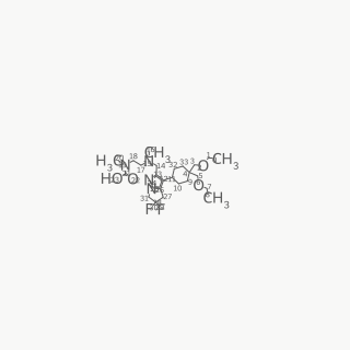 CCOCC1(COCC)CCC(c2c(CN(C)CCN(C)C(=O)O)nn3c2CC(F)(F)C3)CC1